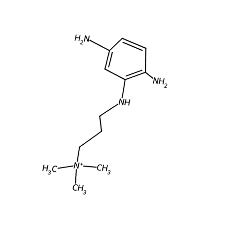 C[N+](C)(C)CCCNc1cc(N)ccc1N